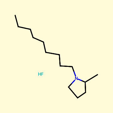 CCCCCCCCCN1CCCC1C.F